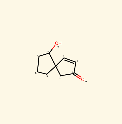 O=C1C=CC2(CCCC2O)C1